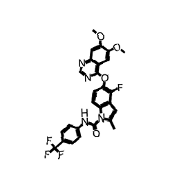 COc1cc2ncnc(Oc3ccc4c(cc(C)n4C(=O)Nc4ccc(C(F)(F)F)cc4)c3F)c2cc1OC